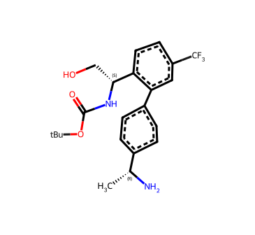 C[C@@H](N)c1ccc(-c2cc(C(F)(F)F)ccc2[C@@H](CO)NC(=O)OC(C)(C)C)cc1